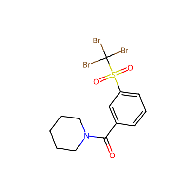 O=C(c1cccc(S(=O)(=O)C(Br)(Br)Br)c1)N1CCCCC1